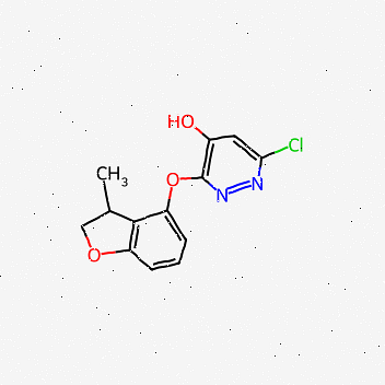 CC1COc2cccc(Oc3nnc(Cl)cc3O)c21